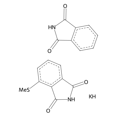 CSc1cccc2c1C(=O)NC2=O.O=C1NC(=O)c2ccccc21.[KH]